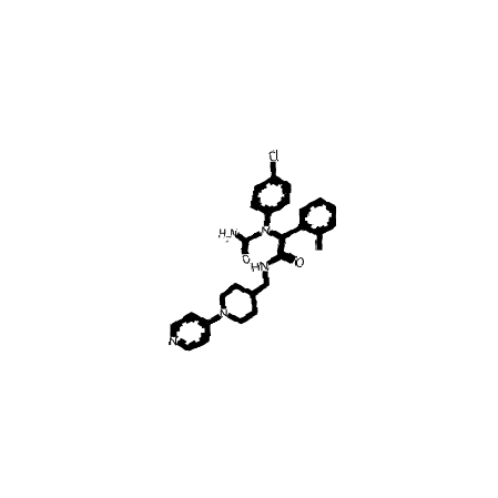 Cc1ccccc1C(C(=O)NCC1CCN(c2ccncc2)CC1)N(C(N)=O)c1ccc(Cl)cc1